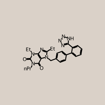 CCCn1c(=O)c2c(nc(CC)n2Cc2ccc(-c3ccccc3-c3nnn[nH]3)cc2)n(CC)c1=O